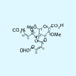 COC1OC(C(=O)O)C(OC)C(OC(=O)/C=C\OC=O)C1OC(=O)/C=C\C(=O)O